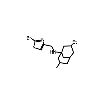 CCC1CC2CC(C)CC(NCc3csc(Br)n3)(C1)C2